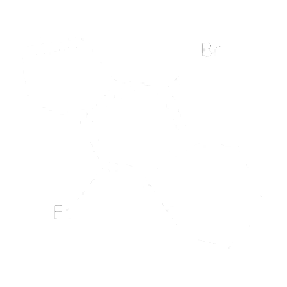 CCc1c2c(c(Br)c3c1CCCC3)C=CC2